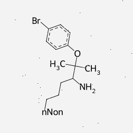 CCCCCCCCCCCCC(N)C(C)(C)Oc1ccc(Br)cc1